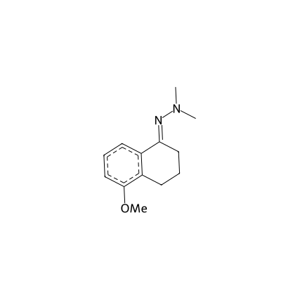 COc1cccc2c1CCCC2=NN(C)C